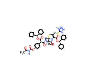 CO[C@@]1(NC(=O)C(C(=O)OC(c2ccccc2)c2ccccc2)c2ccc(OC(=O)NC(=O)C(F)(F)F)cc2)C(=O)N2C(C(=O)OC(c3ccccc3)c3ccccc3)=C(CSc3nnnn3C)CS[C@H]21